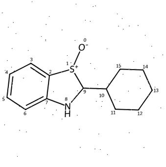 [O-][S+]1c2ccccc2NC1C1CCCCC1